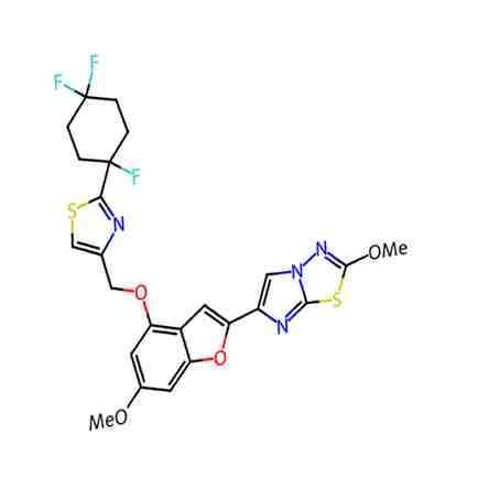 COc1cc(OCc2csc(C3(F)CCC(F)(F)CC3)n2)c2cc(-c3cn4nc(OC)sc4n3)oc2c1